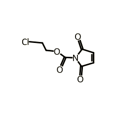 O=C1C=CC(=O)N1C(=O)OCCCl